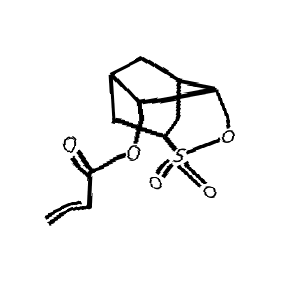 C=CC(=O)OC1C2CC3C1OS(=O)(=O)C3C2